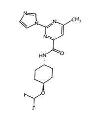 Cc1cc(C(=O)N[C@H]2CC[C@H](OC(F)F)CC2)nc(-n2ccnc2)n1